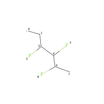 [CH2]CC(F)C(F)C(C)F